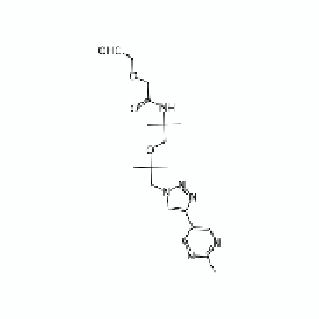 Cc1ncc(-c2cn(CC(C)(C)OCC(C)(C)NC(=O)COCC=O)nn2)cn1